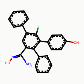 N/C(=N\O)c1cc(-c2ccccc2)c(Cl)c(-c2ccc(O)cc2)c1-c1ccccc1